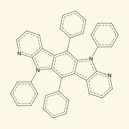 c1ccc(-c2c3c4cccnc4n(-c4ccccc4)c3c(-c3ccccc3)c3c4cccnc4n(-c4ccccc4)c23)cc1